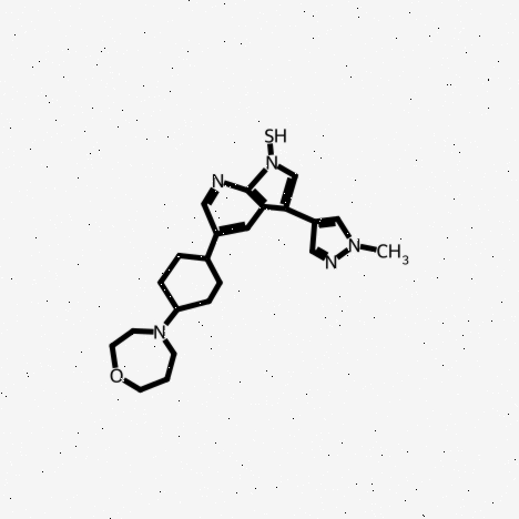 Cn1cc(-c2cn(S)c3ncc(C4CCC(N5CCCOCC5)CC4)cc23)cn1